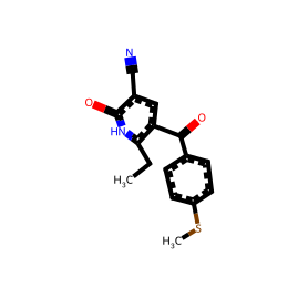 CCc1[nH]c(=O)c(C#N)cc1C(=O)c1ccc(SC)cc1